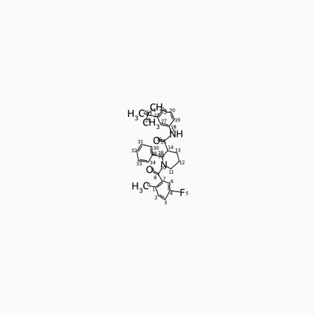 Cc1ccc(F)cc1C(=O)N1CCCC(C(=O)Nc2cccc(C(C)(C)C)c2)[C@@H]1c1ccccc1